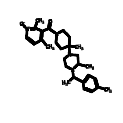 Cc1cc[n+]([O-])c(C)c1C(=O)N1CCC(C)(N2CCN(C(C)c3ccc(C(F)(F)F)cc3)C(C)C2)CC1